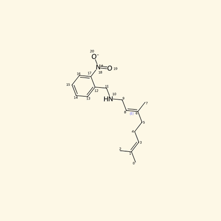 CC(C)=CCC/C(C)=C/CNCc1ccccc1[N+](=O)[O-]